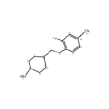 CCCCC1CCC(CCc2ccc(C#N)cc2F)CC1